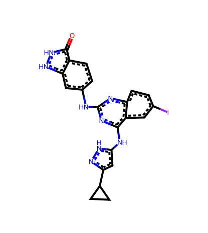 O=c1[nH][nH]c2cc(Nc3nc(Nc4cc(C5CC5)n[nH]4)c4cc(I)ccc4n3)ccc12